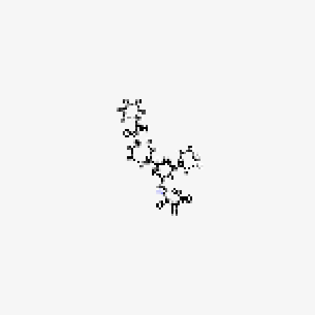 O=C1NC(=O)/C(=C/c2cc(N3CCOCC3)nc(N3CCCN(C(=O)Nc4ccccc4)CC3)n2)S1